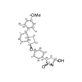 COc1cc(C)c(-c2cccc3c2CC[C@H]3Oc2ccc(C3CC(O)=N[S+]3[O-])cc2)c(C)c1